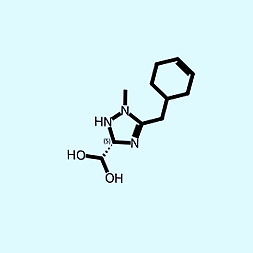 CN1N[C@@H](C(O)O)N=C1CC1CC=CCC1